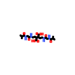 CC(C)C(=O)NCC(=O)NCC/C(C(=O)O)=C(/CCNC(=O)CNC(=O)C(C)C)C(=O)O